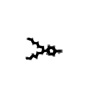 CCCCCCC(CCCCCC)c1ncc(O)cn1